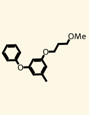 COCCCOc1cc(C)cc(Oc2ccccc2)c1